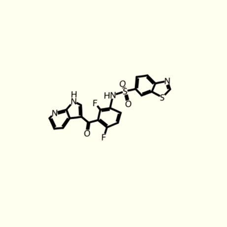 O=C(c1c(F)ccc(NS(=O)(=O)c2ccc3ncsc3c2)c1F)c1c[nH]c2ncccc12